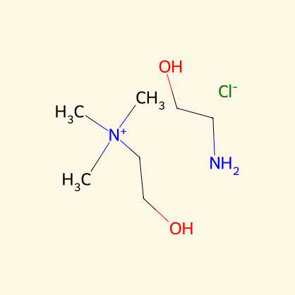 C[N+](C)(C)CCO.NCCO.[Cl-]